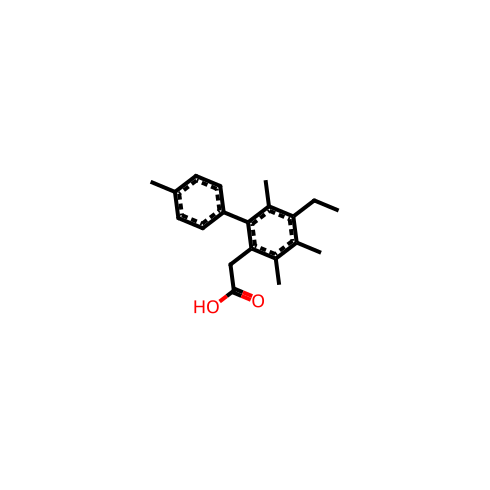 CCc1c(C)c(C)c(CC(=O)O)c(-c2ccc(C)cc2)c1C